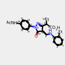 CCc1ccccc1NC=C1C(=O)N(c2ccc(NC(C)=O)cc2)N=C1C(CC)C(=O)O